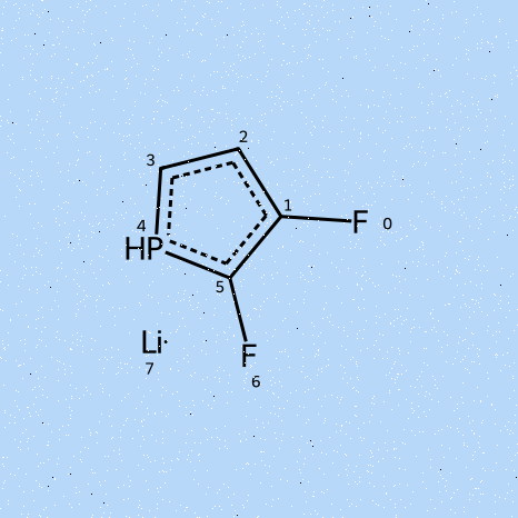 Fc1cc[pH]c1F.[Li]